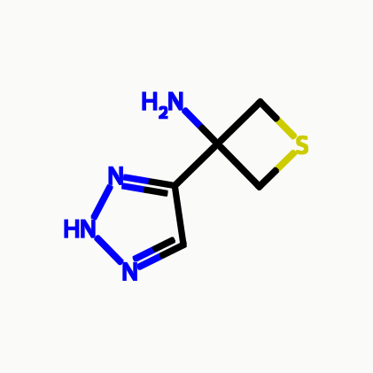 NC1(c2cn[nH]n2)CSC1